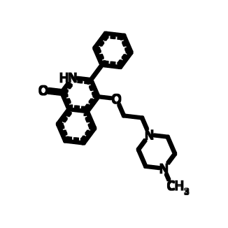 CN1CCN(CCOc2c(-c3ccccc3)[nH]c(=O)c3ccccc23)CC1